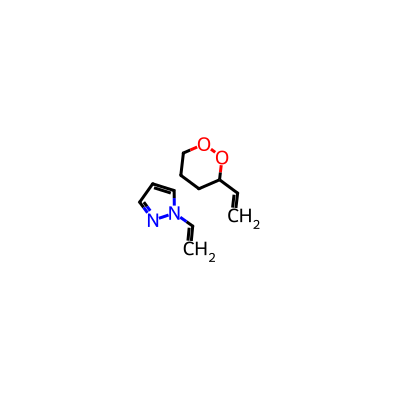 C=CC1CCCOO1.C=Cn1cccn1